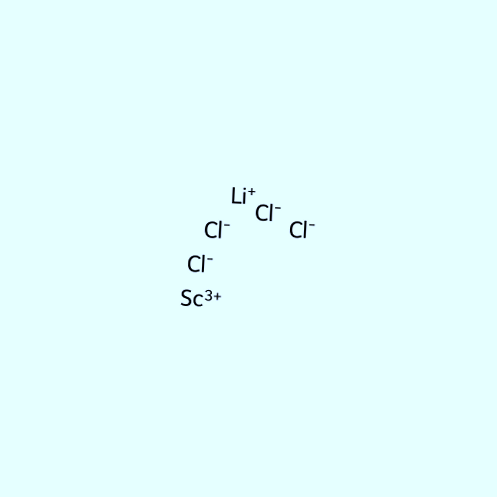 [Cl-].[Cl-].[Cl-].[Cl-].[Li+].[Sc+3]